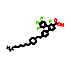 CCCCCCCC1CCC(CCc2ccc(-c3ccc(C(=O)O)c(F)c3-c3cc(F)c(F)c(F)c3)cc2)CC1